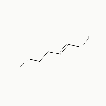 CCOCCC=COF